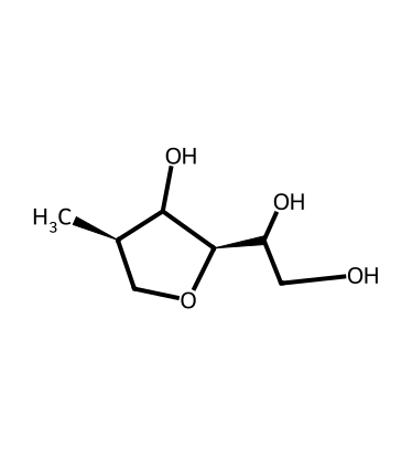 C[C@@H]1CO[C@H](C(O)CO)C1O